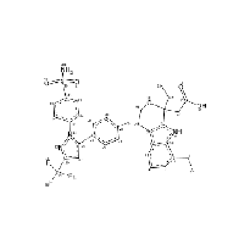 CCc1cccc2c3c([nH]c12)C(CC)(CC(=O)O)OCC3.Cc1ccc(-c2cc(C(F)(F)F)nn2-c2ccc(S(N)(=O)=O)cc2)cc1